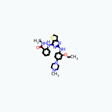 CCOc1cc(N2CCN(C)CC2)ccc1Nc1nc2c(c(Nc3ccccc3C(=O)NC)n1)SCC2